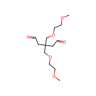 COCCOCC(CC=O)(CC=O)COCCOC